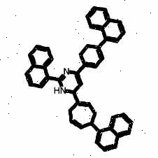 C1=CC(c2cccc3ccccc23)CC=C(C2C=C(C3=CC=C(c4cccc5ccccc45)CC3)N=C(c3cccc4ccccc34)N2)C1